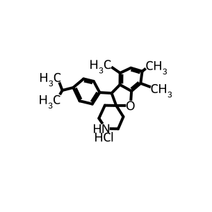 Cc1cc(C)c2c(c1C)OC1(CCNCC1)C2c1ccc(C(C)C)cc1.Cl